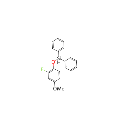 COc1ccc(O[SiH](c2ccccc2)c2ccccc2)c(F)c1